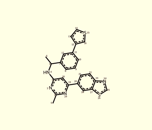 Cc1nc(NC(C)c2cccc(-c3ccsc3)c2)cc(-c2ccc3ncsc3c2)n1